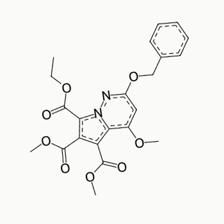 CCOC(=O)c1c(C(=O)OC)c(C(=O)OC)c2c(OC)cc(OCc3ccccc3)nn12